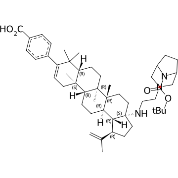 C=C(C)[C@@H]1CC[C@]2(NCCN3CC4CCC(C3)N4C(=O)OC(C)(C)C)CC[C@]3(C)[C@H](CC[C@@H]4[C@@]5(C)CC=C(c6ccc(C(=O)O)cc6)C(C)(C)[C@@H]5CC[C@]43C)[C@@H]12